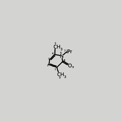 Cc1ccc(C)n(C(C)C)c1=O